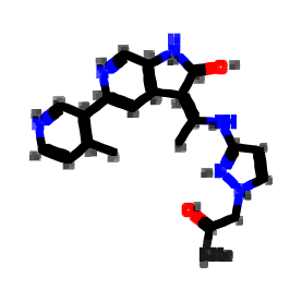 CNC(=O)Cn1ccc(N/C(C)=C2\C(=O)Nc3cnc(-c4cnccc4C)cc32)n1